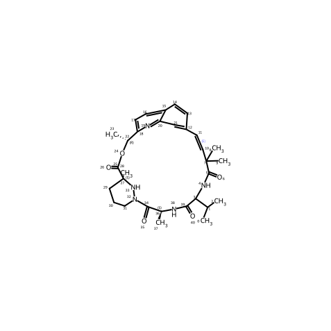 CC(C)C1NC(=O)C(C)(C)/C=C/c2ccc3ccc(nc3c2)[C@@H](C)OC(=O)[C@]2(C)CCCN(N2)C(=O)[C@H](C)NC1=O